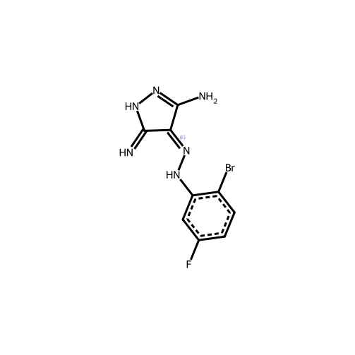 N=C1NN=C(N)/C1=N/Nc1cc(F)ccc1Br